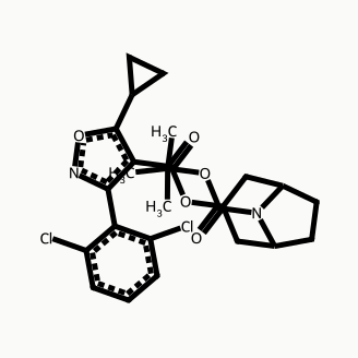 CC(C)(C)OC(=O)N1C2CCC1CC(OC(=O)c1c(-c3c(Cl)cccc3Cl)noc1C1CC1)C2